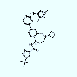 Cc1nn(C)cc1Nc1nccc(-c2ccc3c(c2)CN(C2COC2)CC[C@H]3NC(=O)c2cn(C(C)(C)C)nn2)n1